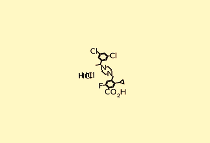 CC(c1cc(Cl)cc(Cl)c1)N1CCN(Cc2cc(F)c(C(=O)O)cc2C2CC2)CC1.Cl.Cl